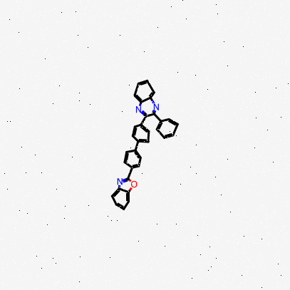 c1ccc(-c2nc3ccccc3nc2-c2ccc(-c3ccc(-c4nc5ccccc5o4)cc3)cc2)cc1